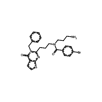 NCCCN(CCCc1nc2sccc2c(=O)n1Cc1ccccc1)C(=O)c1ccc(Br)cc1